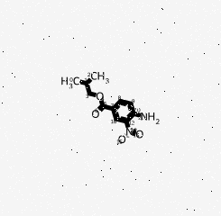 CC(C)COC(=O)c1ccc(N)c([N+](=O)[O-])c1